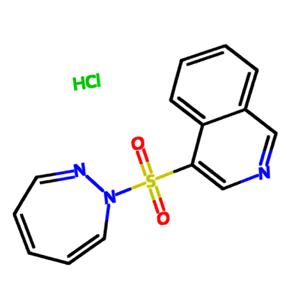 Cl.O=S(=O)(c1cncc2ccccc12)N1C=CC=CC=N1